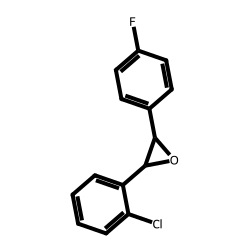 Fc1ccc(C2OC2c2ccccc2Cl)cc1